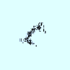 Cc1cc(C(F)(F)F)nn1CC(=O)N1CCC(c2nc(C=NN(C)c3ccc(C(F)(F)F)cn3)cs2)CC1